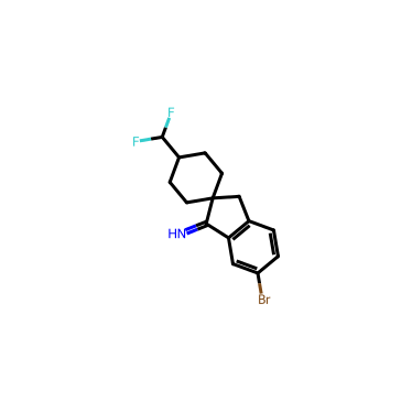 N=C1c2cc(Br)ccc2CC12CCC(C(F)F)CC2